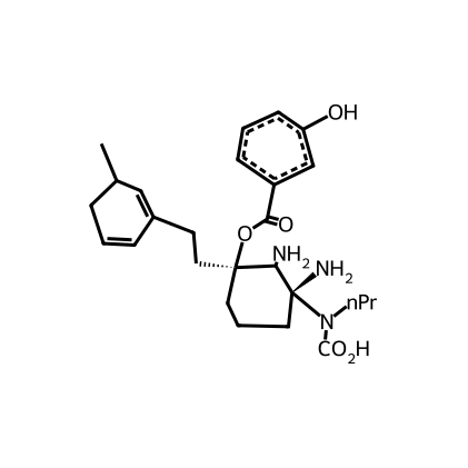 CCCN(C(=O)O)[C@]1(N)CCC[C@@](CCC2=CC(C)CC=C2)(OC(=O)c2cccc(O)c2)C1N